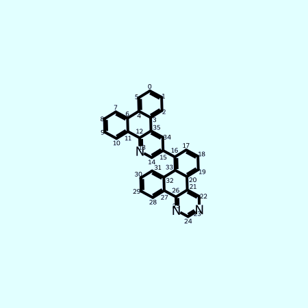 c1ccc2c(c1)c1ccccc1c1ncc(-c3cccc4c5cncnc5c5ccccc5c34)cc21